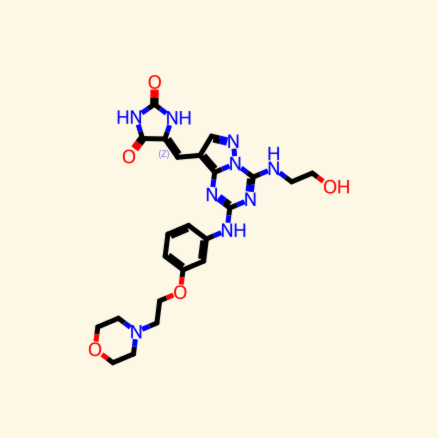 O=C1NC(=O)/C(=C/c2cnn3c(NCCO)nc(Nc4cccc(OCCN5CCOCC5)c4)nc23)N1